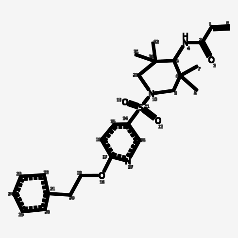 C=CC(=O)NC1C(C)(C)CN(S(=O)(=O)c2ccc(OCCc3ccccc3)nc2)CC1(C)C